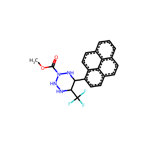 COC(=O)N1NNC(C(F)(F)F)C(c2ccc3ccc4cccc5ccc2c3c45)N1